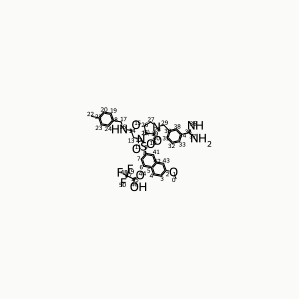 COc1ccc2ccc(S(=O)(=O)N(CC(=O)NCc3ccc(C)cc3)[C@H]3CCN(Cc4cccc(C(=N)N)c4)C3=O)cc2c1.O=C(O)C(F)(F)F